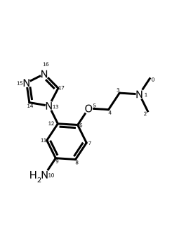 CN(C)CCOc1ccc(N)cc1-n1cnnc1